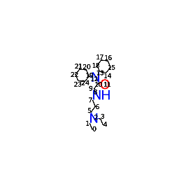 CCN(CC)CCCNCC(=O)N(C1CCCCC1)C1CCCCC1